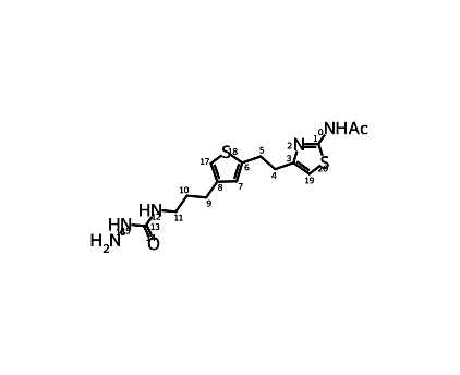 CC(=O)Nc1nc(CCc2cc(CCCNC(=O)NN)cs2)cs1